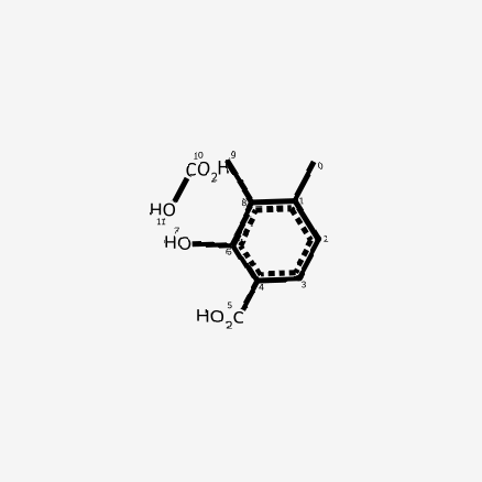 Cc1ccc(C(=O)O)c(O)c1C.O=C(O)O